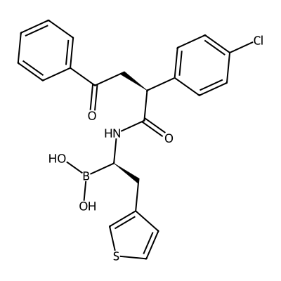 O=C(C[C@H](C(=O)N[C@@H](Cc1ccsc1)B(O)O)c1ccc(Cl)cc1)c1ccccc1